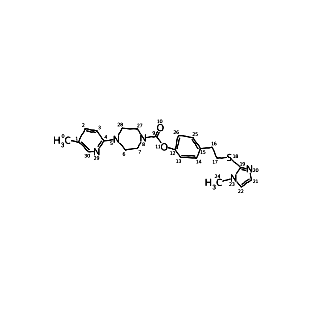 Cc1ccc(N2CCN(C(=O)Oc3ccc(CCSc4nccn4C)cc3)CC2)nc1